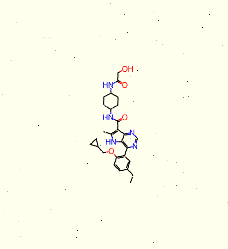 CCc1ccc(OCC2CC2)c(-c2ncnc3c(C(=O)NC4CCC(NC(=O)CO)CC4)c(C)[nH]c23)c1